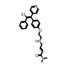 CC/C(=C(\c1ccncc1)c1ccc(OCCNC/C=C/C(=O)N(C)C)cc1)c1ccccc1